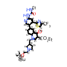 CCNC(=O)Nc1cc(-c2nc(C(F)(F)F)cs2)c(-c2ccc3c(c2)c(=O)c(C(=O)OCC)cn3CC2CCN(CCO[Si](C)(C)C(C)(C)C)C2)cn1